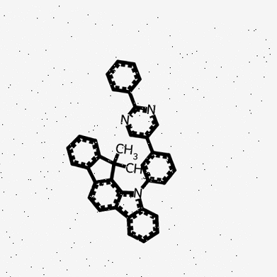 CC1(C)c2ccccc2-c2ccc3c4ccccc4n(-c4cccc(-c5cnc(-c6ccccc6)nc5)c4)c3c21